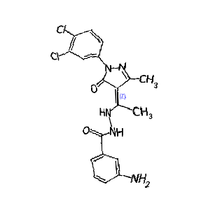 CC1=NN(c2ccc(Cl)c(Cl)c2)C(=O)/C1=C(/C)NNC(=O)c1cccc(N)c1